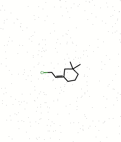 CC1(C)CCC/C(=C/CCl)C1